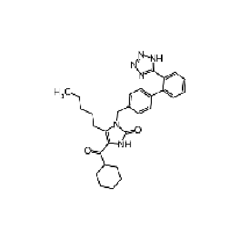 CCCCCc1c(C(=O)C2CCCCC2)[nH]c(=O)n1Cc1ccc(-c2ccccc2-c2nnn[nH]2)cc1